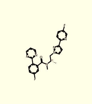 C[C@@H](Cn1ccc(-c2ccc(F)cn2)n1)N(C)C(=O)c1cc(F)ccc1-c1ncccn1